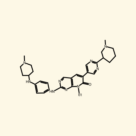 CCn1c(=O)c(-c2cnc(C3CCCN(C)C3)nc2)cc2cnc(Nc3ccc(NC4CCN(C)CC4)cc3)nc21